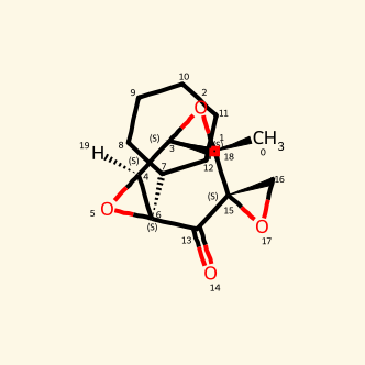 C[C@]12O[C@H]1[C@@H]1O[C@]1(C1CCCCC1)C(=O)[C@]21CO1